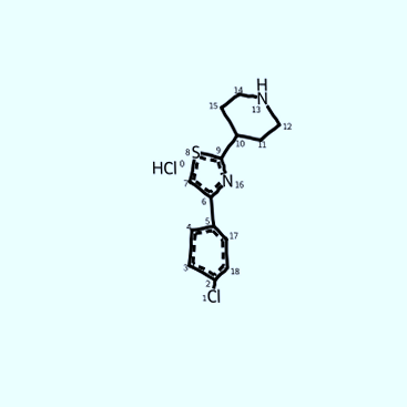 Cl.Clc1ccc(-c2csc(C3CCNCC3)n2)cc1